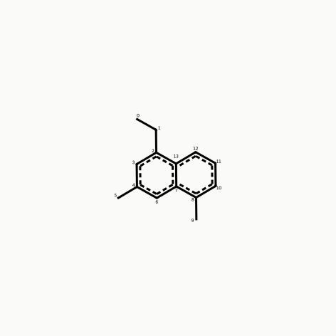 CCc1cc(C)cc2c(C)cccc12